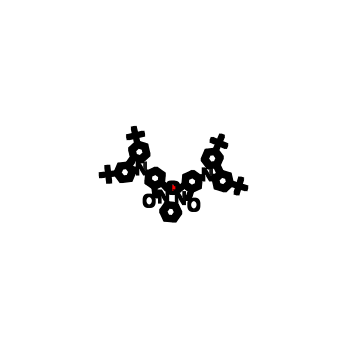 CC(C)(C)c1ccc2c(c1)c1cc(C(C)(C)C)ccc1n2-c1ccc2c(c1)C(=O)N(c1ccccc1N1C(=O)c3ccc(-n4c5ccc(C(C)(C)C)cc5c5cc(C(C)(C)C)ccc54)cc3C1=O)C2=O